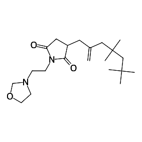 C=C(CC1CC(=O)N(CCN2CCOC2)C1=O)CC(C)(C)CC(C)(C)C